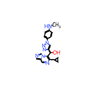 CNc1ccc(-n2cc(C(O)c3c(C4CC4)ncc4cncn34)nn2)cc1